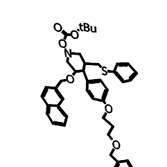 CC(C)(C)OC(=O)ON1CC(CSc2ccccc2)C(c2ccc(OCCCOCc3ccccc3)cc2)C(OCc2ccc3ccccc3c2)C1